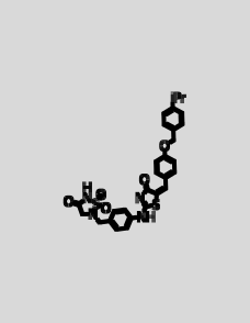 CC(C)c1ccc(COc2ccc(C=C3SC(Nc4ccc(CN5CC(=O)NS5(=O)=O)cc4)=NC3=O)cc2)cc1